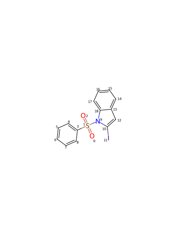 O=S(=O)(c1ccccc1)n1c(I)cc2ccccc21